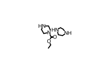 C1CNCCN1.CCOC(=O)N1CCNCC1